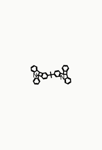 CC(C)(c1ccc2c(c1)C1c3ccccc3N3c4ccccc4C213)c1ccc2c(c1)N1c3ccccc3C3c4ccccc4C231